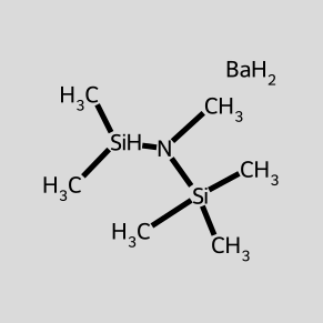 CN([SiH](C)C)[Si](C)(C)C.[BaH2]